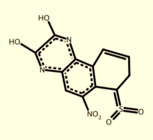 O=[N+]([O-])c1cc2nc(O)c(O)nc2c2c1C(=S(=O)=O)CC=C2